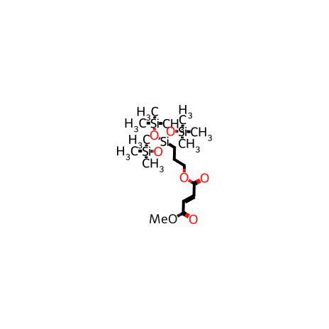 COC(=O)C=CC(=O)OCCC[Si](O[Si](C)(C)C)(O[Si](C)(C)C)O[Si](C)(C)C